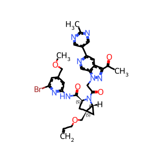 C=CCOC[C@@]12C[C@@H](C(=O)Nc3cc(COC)cc(Br)n3)N(C(=O)Cn3nc(C(C)=O)c4cc(-c5cnc(C)nc5)ncc43)[C@@H]1C2